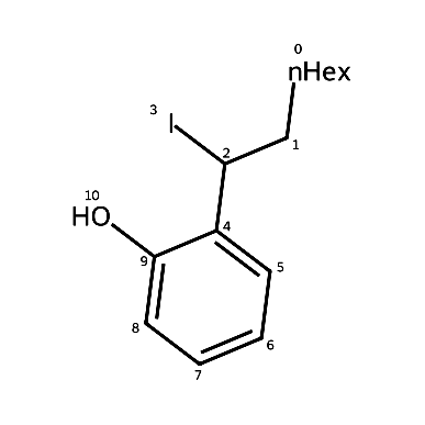 CCCCCCCC(I)c1ccccc1O